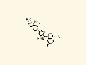 C[C@@H]1OCC2(CCN(c3cnc4c(N5CC[C@H](C)c6ncc(F)cc65)n[nH]c4n3)CC2)[C@@H]1N